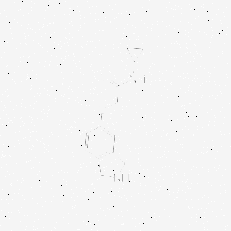 O=C(COc1ccc2c(c1)CNC2)NC1CC1